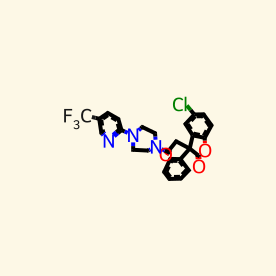 O=C(CC1(c2ccccc2)C(=O)Oc2ccc(Cl)cc21)N1CCN(c2ccc(C(F)(F)F)cn2)CC1